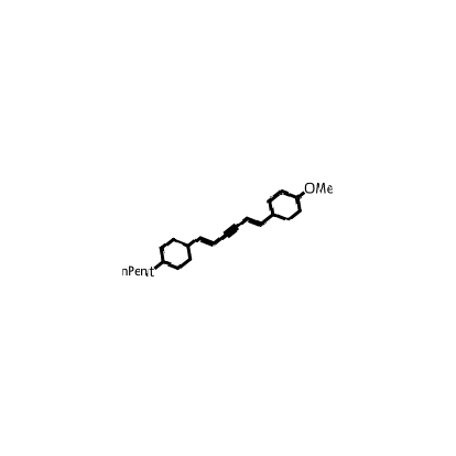 CCCCCC1CCC(C=CC#CC=CC2CCC(OC)CC2)CC1